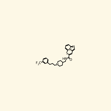 O=C(NCC1CCN(CCCc2cccc(C(F)(F)F)c2)CC1)C1=Cc2cnc3cccc(n23)S1